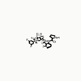 CC1(C)c2[nH]nc(NC(=O)c3c(F)cccc3NC(=O)c3ccc[nH]3)c2CN1S(=O)(=O)c1cc(F)cc(F)c1